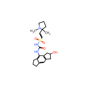 CN1CCCC1(C)/C=C/S(=O)(=O)NC(=O)Nc1c2c(cc3c1CC(O)C3)CCC2